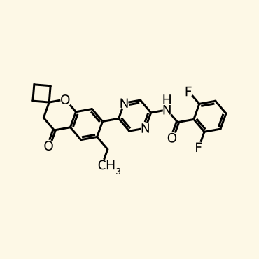 CCc1cc2c(cc1-c1cnc(NC(=O)c3c(F)cccc3F)cn1)OC1(CCC1)CC2=O